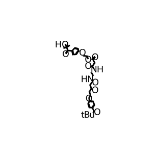 CC(C)(C)C(=O)c1ccc(OCCC(=O)CC(=O)NCCNC(=O)CC(=O)OCCOc2ccc(C(=O)C(C)(C)O)cc2)cc1